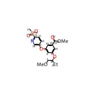 CC[C@@H](COC)Oc1cc(Oc2ccc(S(C)(=O)=O)nc2)cc(C(=O)OC)c1